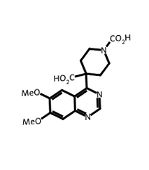 COc1cc2ncnc(C3(C(=O)O)CCN(C(=O)O)CC3)c2cc1OC